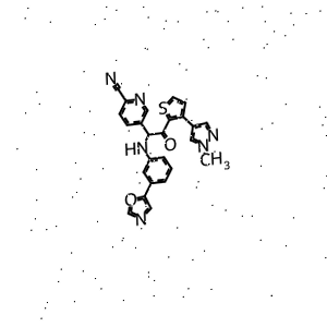 Cn1cc(-c2ccsc2C(=O)C(Nc2cccc(-c3cnco3)c2)c2ccc(C#N)nc2)cn1